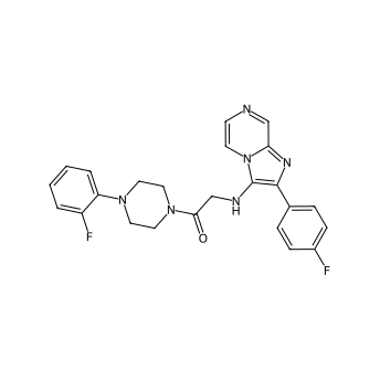 O=C(CNc1c(-c2ccc(F)cc2)nc2cnccn12)N1CCN(c2ccccc2F)CC1